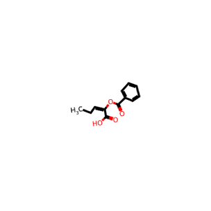 CC/C=C(/OC(=O)c1ccccc1)C(=O)O